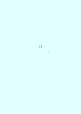 CCCCCC(C)(O)CCC